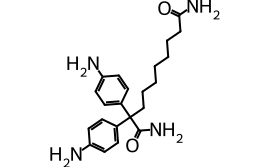 NC(=O)CCCCCCCC(C(N)=O)(c1ccc(N)cc1)c1ccc(N)cc1